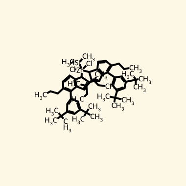 CCCc1ccc2c(c1-c1cc(C(C)(C)C)cc(C(C)(C)C)c1)C=C(C(C)CC)[CH]2[Zr]([Cl])([Cl])([CH]1C(C(C)CC)=Cc2c1ccc(CCC)c2-c1cc(C(C)(C)C)cc(C(C)(C)C)c1)[SiH](C)C